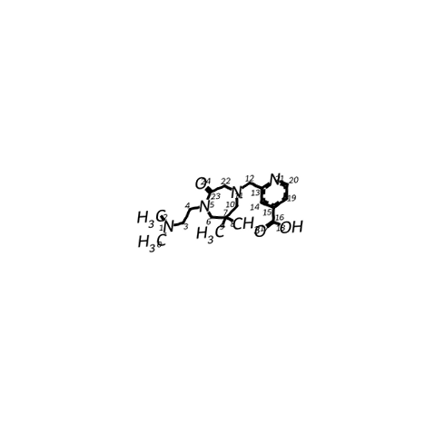 CN(C)CCN1CC(C)(C)CN(Cc2cc(C(=O)O)ccn2)CC1=O